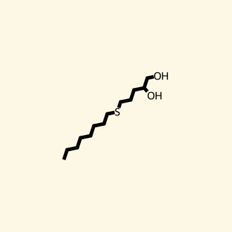 CCCCCCCCSCCCC(O)CO